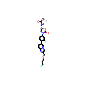 CC(=O)NC[C@H]1CN(c2ccc(-c3ccc4nc(COCCCF)cn4c3)c(F)c2)C(=O)O1